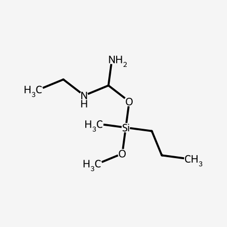 CCC[Si](C)(OC)OC(N)NCC